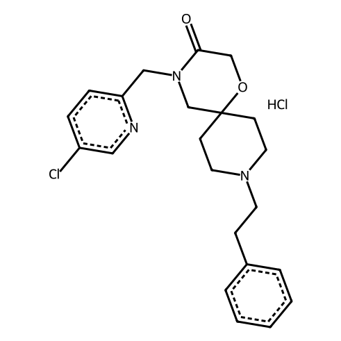 Cl.O=C1COC2(CCN(CCc3ccccc3)CC2)CN1Cc1ccc(Cl)cn1